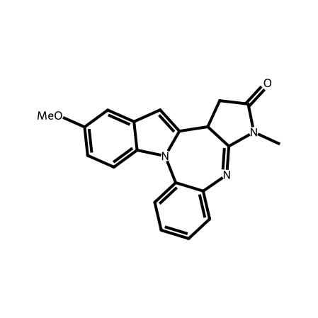 COc1ccc2c(c1)cc1n2-c2ccccc2N=C2C1CC(=O)N2C